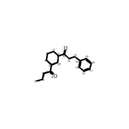 CCCC(=O)C1CCCC(C(=O)CCc2ccccc2)C1